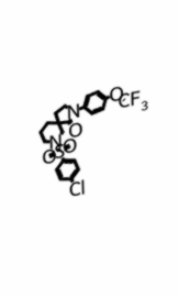 O=C1N(c2ccc(OC(F)(F)F)cc2)CCC12CCCN(S(=O)(=O)c1ccc(Cl)cc1)C2